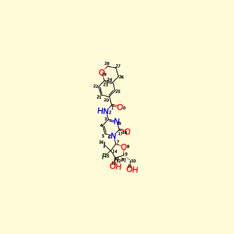 O=C(Nc1ccn(C2O[C@H](CO)[C@@H](O)C2(F)I)c(=O)n1)c1ccc2c(c1)CCCO2